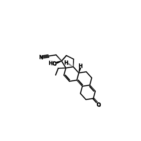 CCC12C=CC3=C4CCC(=O)C=C4CC[C@H]3[C@@H]1CC[C@@]2(O)CC#N